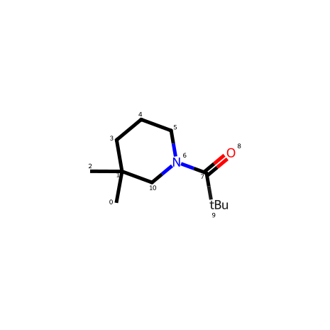 CC1(C)CCCN(C(=O)C(C)(C)C)C1